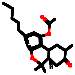 CCCCCc1cc(OC(C)=O)c2c(c1)OC(C)(C)[C@@H]1CC(=O)C(C)CC21